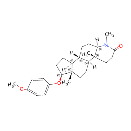 COc1ccc(O[C@H]2CC[C@H]3[C@@H]4CC[C@H]5N(C)C(=O)CC[C@]5(C)[C@H]4CC[C@]23C)cc1